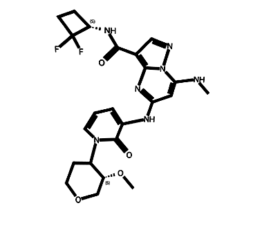 CNc1cc(Nc2cccn(C3CCOC[C@H]3OC)c2=O)nc2c(C(=O)N[C@H]3CCC3(F)F)cnn12